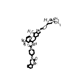 Cc1cc(CC(NC(=O)N2CCC(N3Cc4ccccc4NC3=O)CC2)c2cc([N+](=O)[O-])ccn2)cc2cn(COCC[Si](C)(C)C)nc12